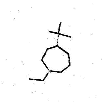 CCN1CCC[C@@H](C(C)(C)C)CC1